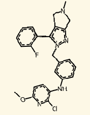 COc1ccc(Nc2cccc(Cn3nc4c(c3-c3ccccc3F)CN(C)C4)c2)c(Cl)n1